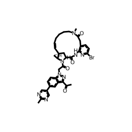 CC(=O)c1nn(CC(=O)N2C3C[C@@]34C=CCCCCN(C)C(=O)Cc3ccc(Br)nc3NC(=O)[C@@H]2C4)c2ccc(-c3cnc(C)nc3)cc12